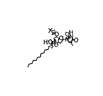 CCCCCCCCCCCCS[P@@](O)(=S)O[C@H]1C[C@H](n2cc(C)c(=O)[nH]c2=O)O[C@@H]1CO[Si](C)(C)C(C)(C)C